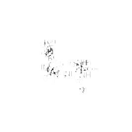 C/C(=C\C(=O)N[C@H]1CCc2cccc3c2N(C1=O)[C@H](C(=O)N[C@@H](CCC(N)=O)[C@@H](C)OCc1ccc(CCCOCC(=O)N[C@H](C(=O)N2C[C@@H](O)C[C@H]2C(=O)NCc2ccc(-c4scnc4C)cc2)C(C)(C)C)cc1)C3)c1ccc(C(F)(F)P(=O)(OCOC(=O)C(C)(C)C)OC(=O)C(C)(C)C)cc1